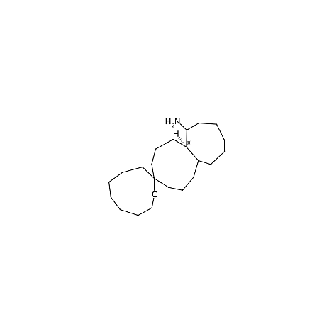 NC1CCCCCC2CCCC3(CCCCCCCC3)CCC[C@@H]12